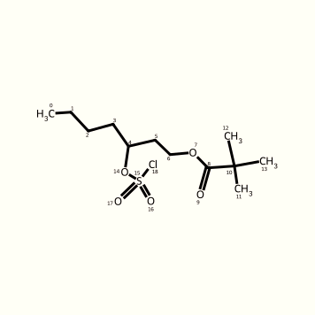 CCCCC(CCOC(=O)C(C)(C)C)OS(=O)(=O)Cl